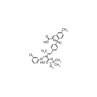 Cc1ccc(S(=O)(=O)c2ccc(C[C@@H](C)N(C[C@H](O)c3cccc(Cl)c3)C(=O)OC(C)(C)C)cc2)c(/C=C/C(=O)O)c1